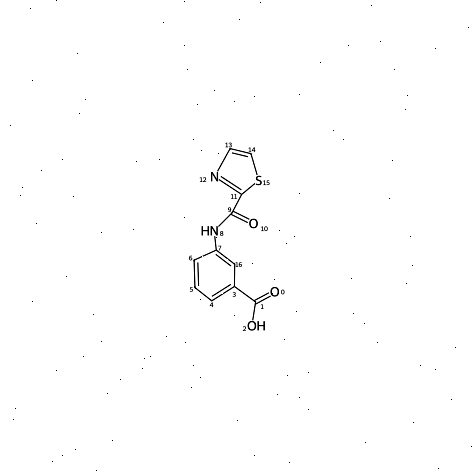 O=C(O)c1cccc(NC(=O)c2nccs2)c1